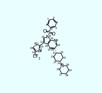 O=S(=O)(c1ccccc1)n1cc(-c2nc(C(F)(F)F)cs2)c2cc([C@H]3CC[C@@H](N4CCCCC4)CC3)cnc21